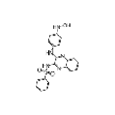 O=S(=O)(Nc1nc2ccccc2nc1Nc1ccc(NO)cc1)c1ccccc1